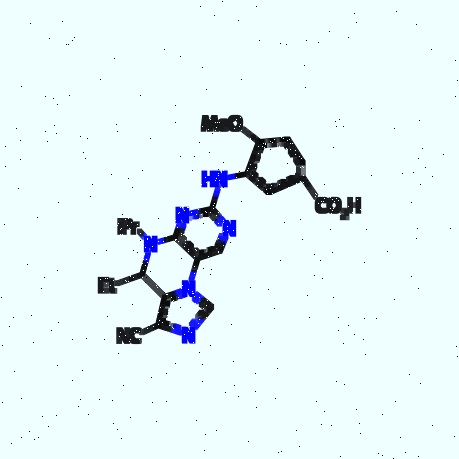 CCC1c2c(C#N)ncn2-c2cnc(Nc3cc(C(=O)O)ccc3OC)nc2N1C(C)C